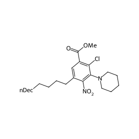 CCCCCCCCCCCCCCc1cc(C(=O)OC)c(Cl)c(N2CCCCC2)c1[N+](=O)[O-]